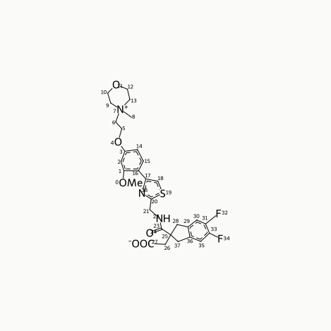 COc1cc(OCC[N+]2(C)CCOCC2)ccc1-c1csc(CNC(=O)C2(CC(=O)[O-])Cc3cc(F)c(F)cc3C2)n1